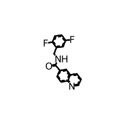 O=C(NCc1cc(F)ccc1F)c1ccc2ncccc2c1